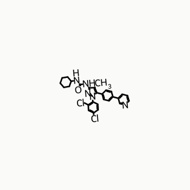 Cc1c(NC(=O)NC2CCCCC2)nn(-c2ccc(Cl)cc2Cl)c1-c1ccc(-c2cccnc2)cc1